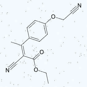 CCOC(=O)C(C#N)=C(C)c1ccc(OCC#N)cc1